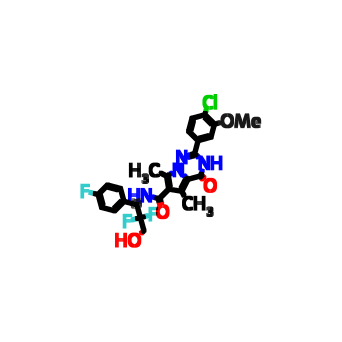 COc1cc(-c2nn3c(C)c(C(=O)N[C@@H](c4ccc(F)cc4)C(F)(F)CO)c(C)c3c(=O)[nH]2)ccc1Cl